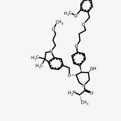 COCCCN1CC(C)(C)c2ccc(CO[C@H]3CN(C(=O)[C@H](C)N)C[C@@H](O)[C@@H]3c3ccc(OCCCOCc4ccccc4OC)cc3)cc21